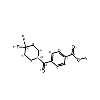 COC(=O)c1ccc(C(=O)N2CCC(F)(F)CC2)cc1